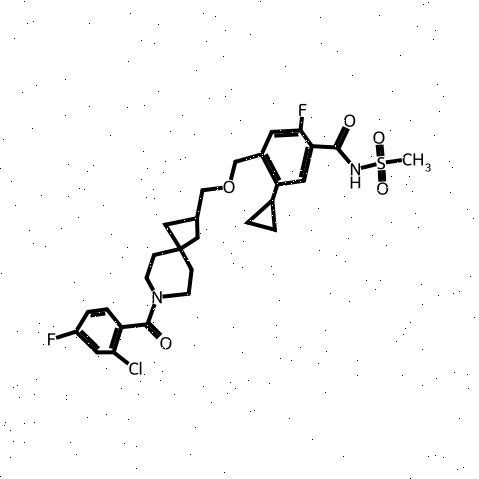 CS(=O)(=O)NC(=O)c1cc(C2CC2)c(COCC2CC3(CCN(C(=O)c4ccc(F)cc4Cl)CC3)C2)cc1F